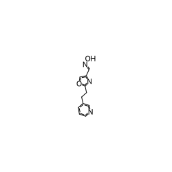 O/N=C/c1coc(CCc2cccnc2)n1